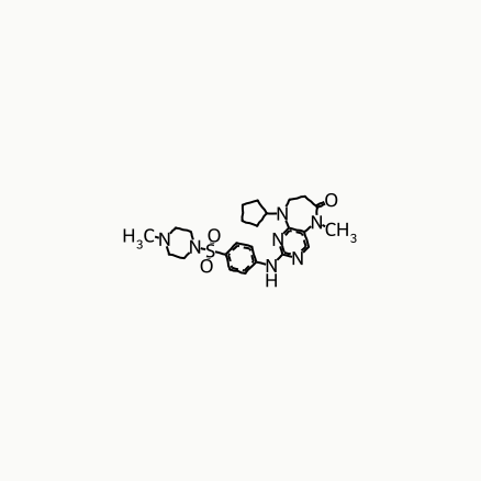 CN1CCN(S(=O)(=O)c2ccc(Nc3ncc4c(n3)N(C3CCCC3)CCC(=O)N4C)cc2)CC1